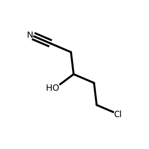 N#CCC(O)CCCl